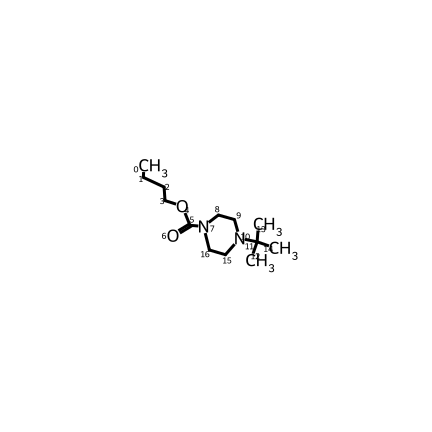 CCCCOC(=O)N1CCN(C(C)(C)C)CC1